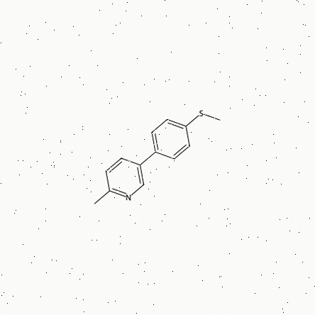 CSc1c[c]c(-c2ccc(C)nc2)cc1